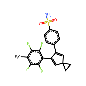 NS(=O)(=O)c1ccc(C2=CC3(C=C2c2c(F)c(F)c(C(F)(F)F)c(F)c2F)CC3)cc1